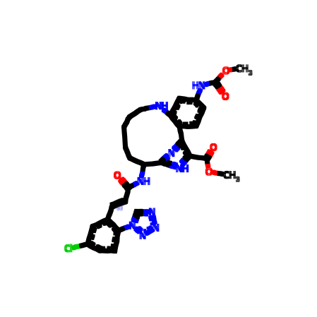 COC(=O)Nc1ccc2c(c1)NCCCCCC(NC(=O)/C=C/c1cc(Cl)ccc1-n1cnnn1)c1nc-2c(C(=O)OC)[nH]1